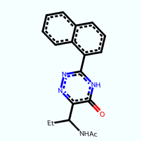 CCC(NC(C)=O)c1nnc(-c2cccc3ccccc23)[nH]c1=O